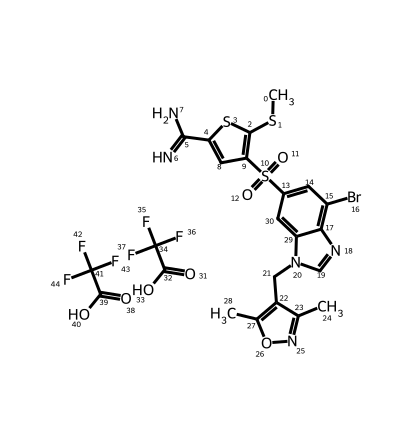 CSc1sc(C(=N)N)cc1S(=O)(=O)c1cc(Br)c2ncn(Cc3c(C)noc3C)c2c1.O=C(O)C(F)(F)F.O=C(O)C(F)(F)F